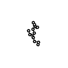 c1ccc(-c2cccc(N(c3ccc(-c4cccc(-c5cccc6ccccc56)c4)cc3)c3cccc(-c4cccc(-n5c6ccccc6c6cc7ccccc7cc65)c4)c3)c2)cc1